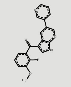 COc1cccc(C(=O)c2c[nH]c3ncc(-c4cccnc4)cc23)c1F